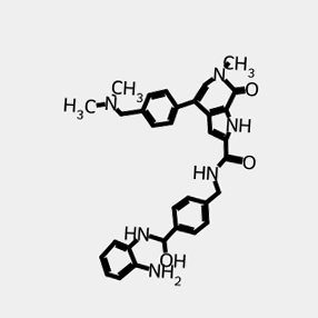 CN(C)Cc1ccc(-c2cn(C)c(=O)c3[nH]c(C(=O)NCc4ccc(C(O)Nc5ccccc5N)cc4)cc23)cc1